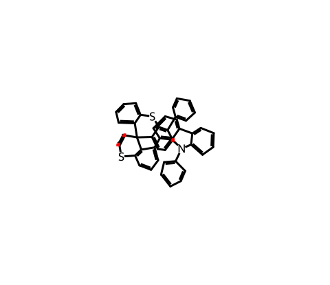 c1ccc(-c2cccc3c2Sc2ccccc2C32c3ccccc3Sc3cccc(-c4cccc5c6ccccc6n(-c6ccccc6)c45)c32)cc1